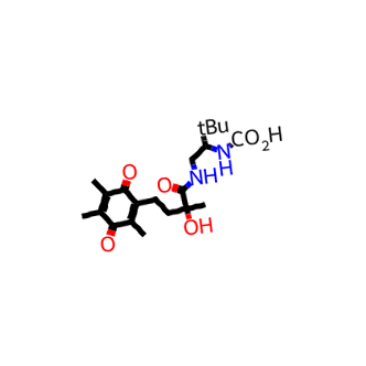 CC1=C(C)C(=O)C(CCC(C)(O)C(=O)NCC(NC(=O)O)C(C)(C)C)=C(C)C1=O